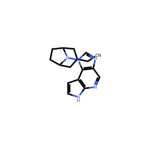 N#CCC1CC2CCC(C1)N2n1cnc2cnc3[nH]ccc3c21